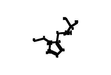 CCn1nccc1CNC(C)C